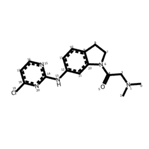 CN(C)CC(=O)N1CCc2ccc(Nc3nccc(Cl)n3)cc21